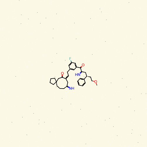 COCC[C@H](CC(=N)C(=O)c1cc(F)cc(C/C=C2/CC(=N)CCCC3(CCCC3)CC2=O)c1)c1ccccc1